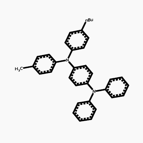 CCCCc1ccc(N(c2ccc(C)cc2)c2ccc(N(c3ccccc3)c3ccccc3)cc2)cc1